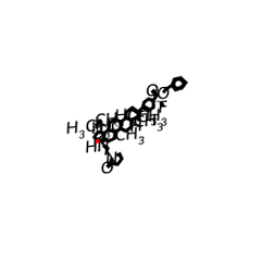 C=C(C)[C@@H]1CC[C@]2(NCCN3CCCC3=O)CC[C@]3(C)[C@H](CC[C@@H]4[C@@]5(C)CC=C(C6=CC[C@](CF)(C(=O)OCc7ccccc7)CC6)C(C)(C)[C@@H]5CC[C@]43C)[C@@H]12